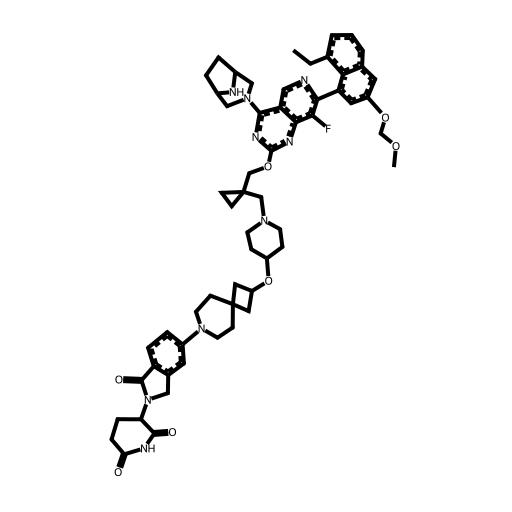 CCc1cccc2cc(OCOC)cc(-c3ncc4c(N5CC6CCC(C5)N6)nc(OCC5(CN6CCC(OC7CC8(CCN(c9ccc%10c(c9)CN(C9CCC(=O)NC9=O)C%10=O)CC8)C7)CC6)CC5)nc4c3F)c12